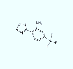 Nc1cc(C(F)(F)F)ccc1-c1nccs1